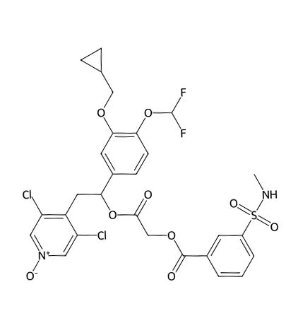 CNS(=O)(=O)c1cccc(C(=O)OCC(=O)OC(Cc2c(Cl)c[n+]([O-])cc2Cl)c2ccc(OC(F)F)c(OCC3CC3)c2)c1